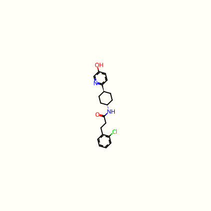 O=C(CCc1ccccc1Cl)N[C@H]1CC[C@H](c2ccc(O)cn2)CC1